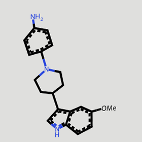 COc1ccc2[nH]cc(C3CCN(c4ccc(N)cc4)CC3)c2c1